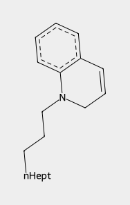 CCCCCCCCCCN1CC=Cc2ccccc21